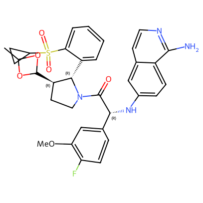 COc1cc([C@@H](Nc2ccc3c(N)nccc3c2)C(=O)N2CC[C@@H](C3OC(C)O3)[C@@H]2c2ccccc2S(=O)(=O)C2CC2)ccc1F